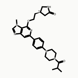 CC(C)C(=O)N1CCN(c2ccc(-c3cc4ncn(C)c4c(OCC[C@H]4CNC(=O)C4)n3)cc2)CC1